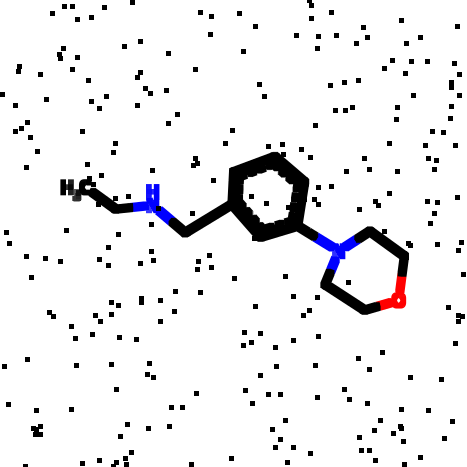 CCNCc1cccc(N2CCOCC2)c1